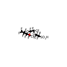 O=S(=O)(O)C(F)(F)C(F)(F)O[C@@](F)(C(F)(F)F)C(F)(F)OC(F)(C(F)(F)C(F)F)C(F)(F)C(F)(F)F